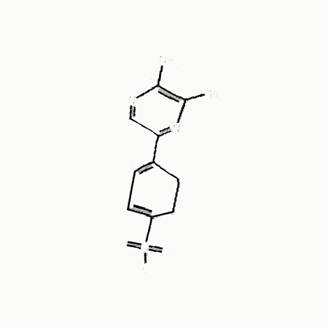 CC(C)(C)c1nc(C2=CC=C(S(C)(=O)=O)CC2)cnc1N